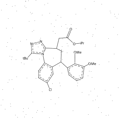 COc1cccc(C2SC(CC(=O)OC(C)C)c3nnc(C(C)(C)C)n3-c3ccc(Cl)cc32)c1OC